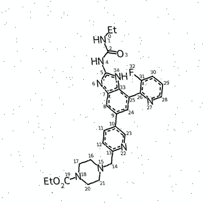 CCNC(=O)Nc1nc2cc(-c3ccc(CN4CCN(C(=O)OCC)CC4)nc3)cc(-c3ncccc3F)c2[nH]1